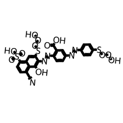 N#Cc1ccc(S(=O)(=O)O)c2cc(SOOO)c(/N=N/c3ccc(/N=N/c4ccc(SOOO)cc4)cc3C(=O)O)c(O)c12